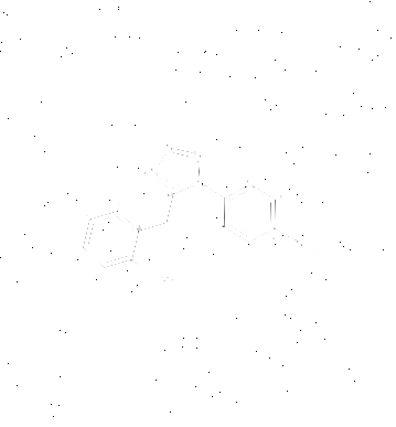 COc1ccccc1Cc1nnnn1-c1ccc([N+](=O)[O-])cn1